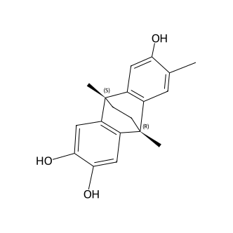 Cc1cc2c(cc1O)[C@]1(C)CC[C@@]2(C)c2cc(O)c(O)cc21